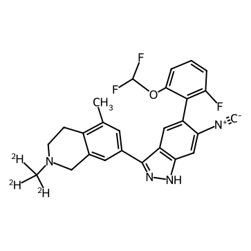 [2H]C([2H])([2H])N1CCc2c(C)cc(-c3n[nH]c4cc([N+]#[C-])c(-c5c(F)cccc5OC(F)F)cc34)cc2C1